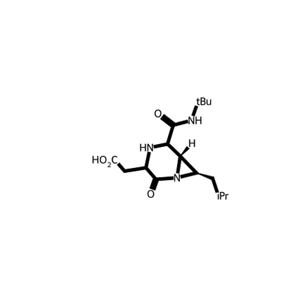 CC(C)C[C@@H]1[C@H]2C(C(=O)NC(C)(C)C)NC(CC(=O)O)C(=O)N12